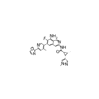 Cc1cc(-c2ncco2)ncc1-c1cc2cc(NC(=O)[C@H]3[C@H](C)[C@@H]3c3cnn(C)c3)ncc2c(N)c1F